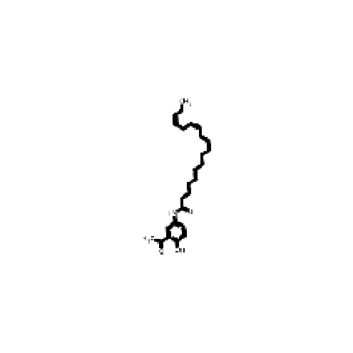 CC/C=C\C/C=C\C/C=C\CCCCCCCC(=O)Nc1ccc(O)c(C(C)=O)c1